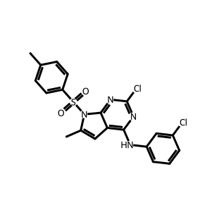 Cc1ccc(S(=O)(=O)n2c(C)cc3c(Nc4cccc(Cl)c4)nc(Cl)nc32)cc1